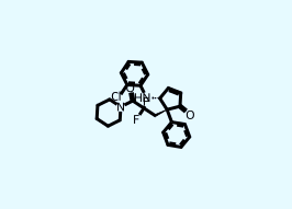 O=C(N1CCCCC1)C(F)(F)C[C@]1(c2ccccc2)C(=O)C=C[C@H]1Nc1ccccc1Cl